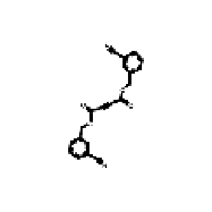 N#Cc1cccc(COC(=O)C#CC(=O)OCc2cccc(C#N)c2)c1